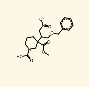 COC(=O)C1(C(COCc2ccccc2)C[N+](=O)[O-])CCCN(C(=O)O)C1